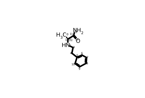 C[C@H](NCCc1ccccc1)C(N)=O